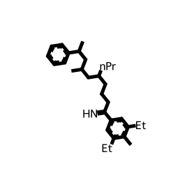 CCCC(CCCC(=N)c1cc(CC)c(C)c(CC)c1)CC(C)CC(C)c1ccccc1